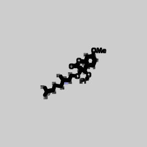 COc1ccc2c(OC(C)C)c(OC/C=C(\C)CCC=C(C)C)c(=O)oc2c1